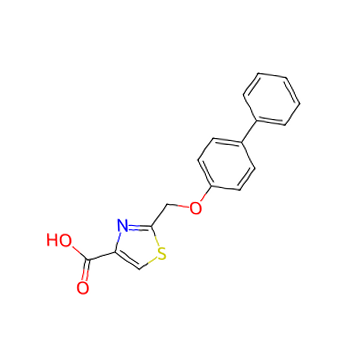 O=C(O)c1csc(COc2ccc(-c3ccccc3)cc2)n1